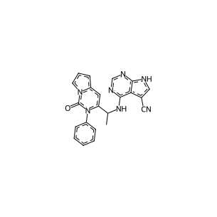 CC(Nc1ncnc2[nH]cc(C#N)c12)c1cc2cccn2c(=O)n1-c1ccccc1